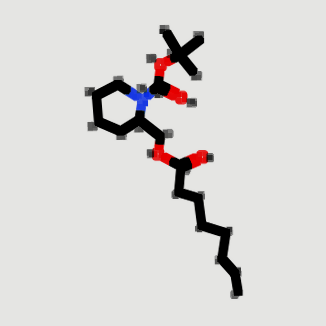 CCCCCCCC(=O)OCC1CCCCN1C(=O)OC(C)(C)C